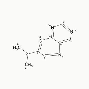 CC(C)c1cnc2cncnc2n1